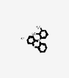 Cc1cccc(-[n+]2c3ccccc3nc3ccccc32)c1C.[Cl-]